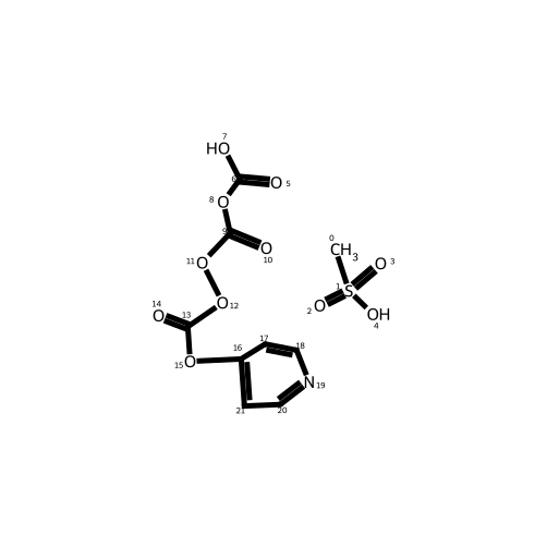 CS(=O)(=O)O.O=C(O)OC(=O)OOC(=O)Oc1ccncc1